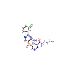 CCCCNC(=O)c1cnccc1Nc1nc(-c2cc(Cl)ccc2F)ncc1OC